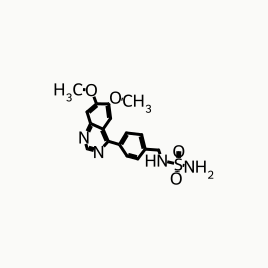 COc1cc2ncnc(-c3ccc(CNS(N)(=O)=O)cc3)c2cc1OC